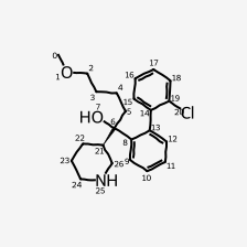 COCCCCC(O)(c1ccccc1-c1ccccc1Cl)[C@@H]1CCCNC1